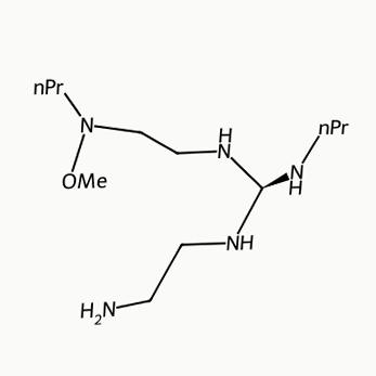 CCCN[C@@H](NCCN)NCCN(CCC)OC